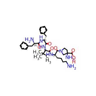 CC(C)(C)[C@@H](NC(=O)[C@@H](Cc1ccccc1)NC(=O)[C@H](N)Cc1ccccc1)C(=O)N[C@H](CCCCN)C(=O)N1CCC(N)(C(=O)O)C1